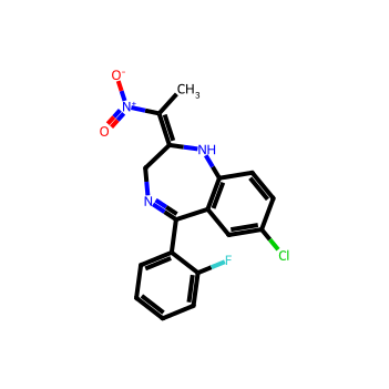 CC(=C1CN=C(c2ccccc2F)c2cc(Cl)ccc2N1)[N+](=O)[O-]